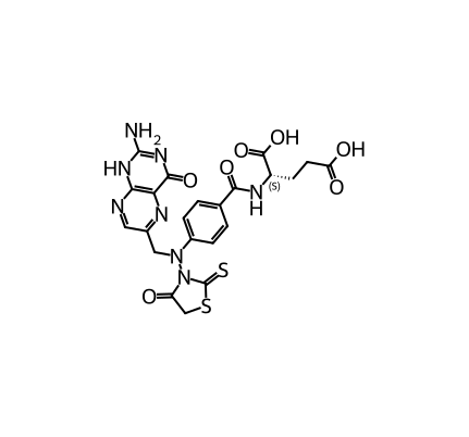 Nc1nc(=O)c2nc(CN(c3ccc(C(=O)N[C@@H](CCC(=O)O)C(=O)O)cc3)N3C(=O)CSC3=S)cnc2[nH]1